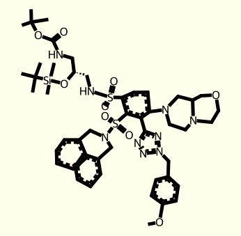 COc1ccc(Cn2nnc(-c3c(N4CCN5CCOCC5C4)ccc(S(=O)(=O)NC[C@@H](CNC(=O)OC(C)(C)C)O[Si](C)(C)C(C)(C)C)c3S(=O)(=O)N(Cc3ccccc3)Cc3ccccc3)n2)cc1